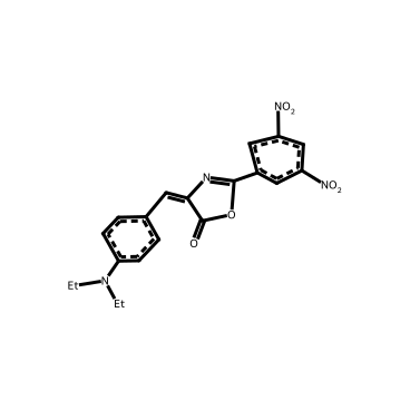 CCN(CC)c1ccc(C=C2N=C(c3cc([N+](=O)[O-])cc([N+](=O)[O-])c3)OC2=O)cc1